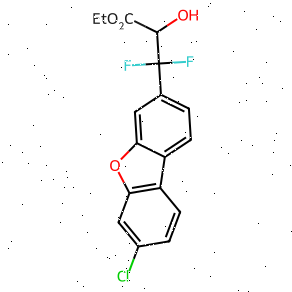 CCOC(=O)C(O)C(F)(F)c1ccc2c(c1)oc1cc(Cl)ccc12